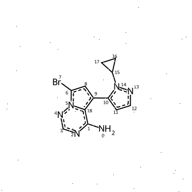 Nc1ncnn2c(Br)cc(-c3ccnn3C3CC3)c12